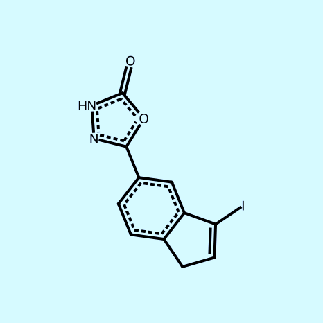 O=c1[nH]nc(-c2ccc3c(c2)C(I)=CC3)o1